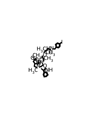 COC(=O)CC1CC(C)N([C@@H](Cc2c[nH]c3ccccc23)C(=O)NCC(C)(C)COCC(C)(C)CC(=O)NCc2ccc(I)cc2)C1=O